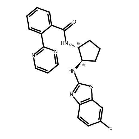 O=C(N[C@@H]1CCC[C@H]1Nc1nc2ccc(F)cc2s1)c1ccccc1-c1ncccn1